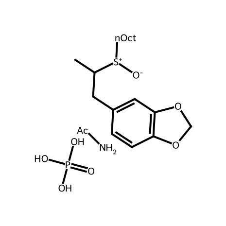 CC(N)=O.CCCCCCCC[S+]([O-])C(C)Cc1ccc2c(c1)OCO2.O=P(O)(O)O